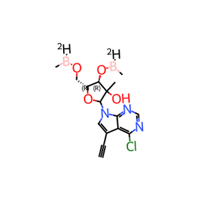 [2H]B(C)OC[C@H]1OC(n2cc(C#C)c3c(Cl)ncnc32)C(C)(O)[C@@H]1OB([2H])C